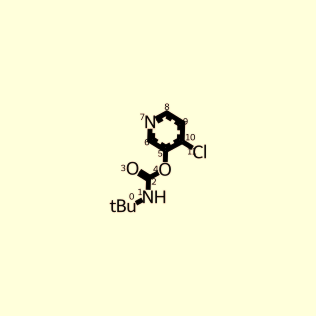 CC(C)(C)NC(=O)Oc1cnccc1Cl